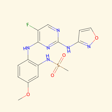 COc1ccc(Nc2nc(Nc3ccon3)ncc2F)c(NS(C)(=O)=O)c1